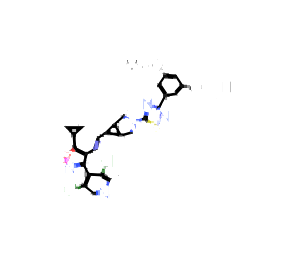 COc1cc(C(=O)O)cc(-c2nsc(N3CC4C(/C=C/c5c(-c6c(Cl)cncc6Cl)noc5C5CC5)C4C3)n2)c1